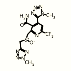 Cn1nnc(C[S+]([O-])Cc2nc(C(F)(F)F)cc(-c3nnnn3C)c2C(N)=O)n1